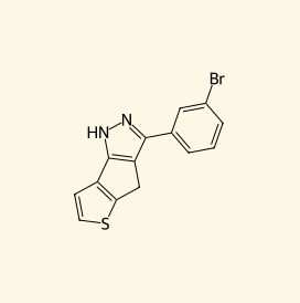 Brc1cccc(-c2n[nH]c3c2Cc2sccc2-3)c1